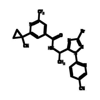 CC(NC(=O)c1cc(C(F)(F)F)nc(C2(C#N)CC2)c1)c1nc(Br)nn1-c1ccc(C#N)cn1